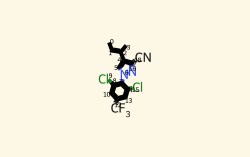 CC=C(C)c1cn(-c2c(Cl)cc(C(F)(F)F)cc2Cl)nc1C#N